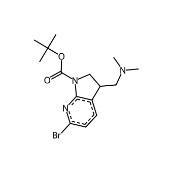 CN(C)CC1CN(C(=O)OC(C)(C)C)c2nc(Br)ccc21